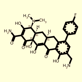 CN(C)[C@@H]1C(O)=C(C(N)=O)C(=O)[C@@]2(O)C(O)=C3C(=O)c4c(O)c(CN)cc(-c5ccc(F)cc5)c4C[C@@H]3C[C@H]12